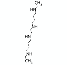 CCNCCCCNCCNCCCCNCC